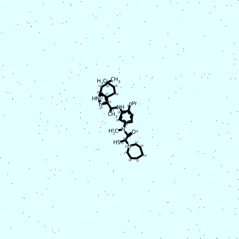 CCCc1ccc(N(C)C(=O)C(S)N2CCCCCC2)cc1NC(C)c1n[nH]c2c1CCC(C)(C)C2